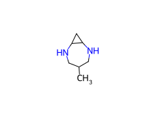 CC1CNC2CC2NC1